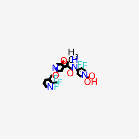 Cc1oc2cnc(OCc3cccnc3C(F)(F)F)cc2c1C(=O)N[C@@H]1CCN(C(=O)O)CC1(F)F